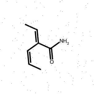 C/C=C\C(=C/C)C(N)=O